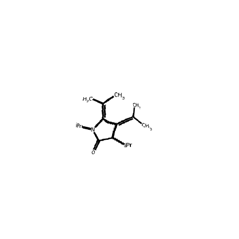 CC(C)=C1C(=C(C)C)N(C(C)C)C(=O)C1C(C)C